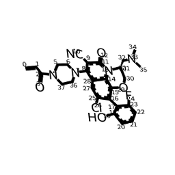 C=CC(=O)N1CCN(c2c(C#N)c(=O)n3c4c(c(-c5c(O)cccc5F)c(Cl)cc24)OC[C@@H]3CN(C)C)CC1